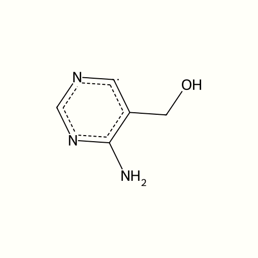 Nc1ncn[c]c1CO